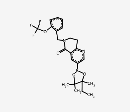 CCC1(C)OB(c2cnc3c(c2)C(=O)N(Cc2ccccc2OC(F)(F)F)CC3)OC1(C)C